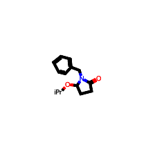 CC(C)OC1CCC(=O)N1Cc1ccccc1